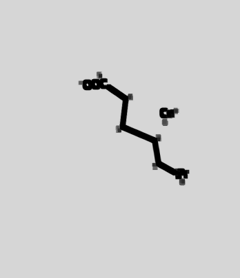 CC(C)CCCCC(=O)[O-].[Cu+]